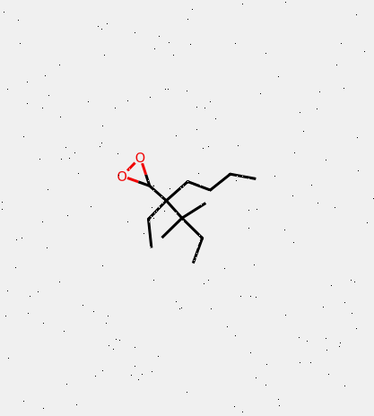 CCCCC(CC)([C]1OO1)C(C)(C)CC